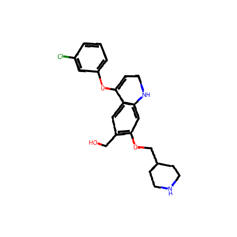 OCc1cc2c(cc1OCC1CCNCC1)NCC=C2Oc1cccc(Cl)c1